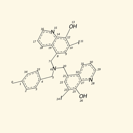 Cc1ccc(CN(Cc2cc(I)c(O)c3ncccc23)Cc2cc(I)c(O)c3ncccc23)cc1